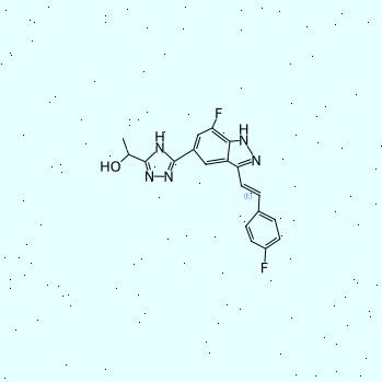 CC(O)c1nnc(-c2cc(F)c3[nH]nc(/C=C/c4ccc(F)cc4)c3c2)[nH]1